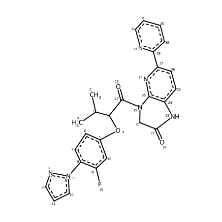 CC(C)C(Oc1ccc(-n2cccn2)c(F)c1)C(=O)N1CC(=O)Nc2ccc(-c3ccccn3)nc21